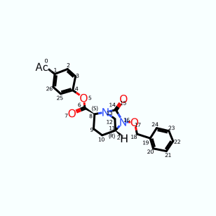 CC(=O)c1ccc(OC(=O)[C@@H]2CC[C@@H]3CN2C(=O)N3OCc2ccccc2)cc1